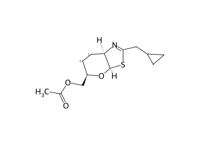 CC(=O)OC[C@H]1[C][C][C@H]2N=C(CC3CC3)S[C@H]2O1